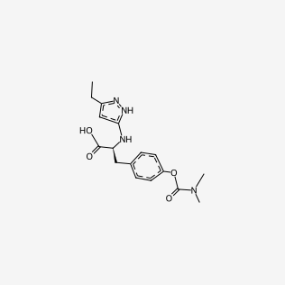 CCc1cc(N[C@@H](Cc2ccc(OC(=O)N(C)C)cc2)C(=O)O)[nH]n1